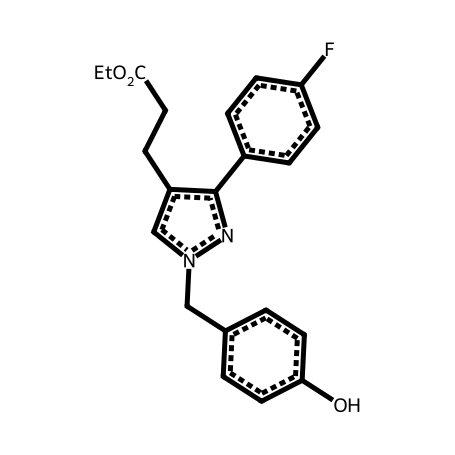 CCOC(=O)CCc1cn(Cc2ccc(O)cc2)nc1-c1ccc(F)cc1